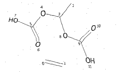 C=C.CC(OC(=O)O)OC(=O)O